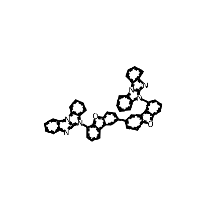 c1ccc2c(c1)nc1n(-c3cccc4c3oc3ccc(-c5ccc6oc7cccc(-n8c9ccccc9n9c%10ccccc%10nc89)c7c6c5)cc34)c3ccccc3n21